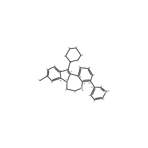 Cc1ccc2c(C3CCCCC3)c3n(c2c1)CCOc1c(-c2cccnc2)cccc1-3